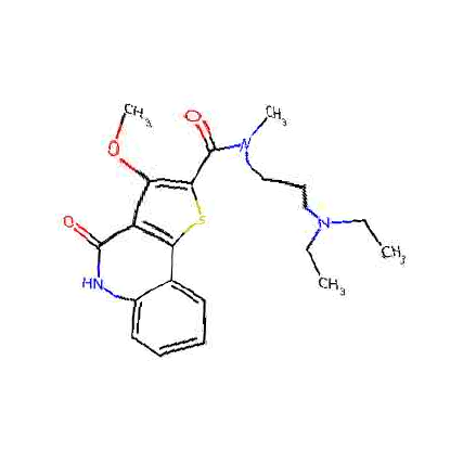 CCN(CC)CCN(C)C(=O)c1sc2c(c1OC)c(=O)[nH]c1ccccc12